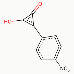 O=c1c(O)c1-c1ccc([N+](=O)[O-])cc1